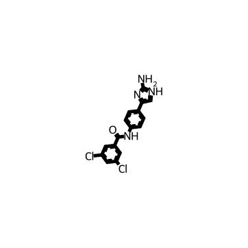 Nc1nc(-c2ccc(NC(=O)c3cc(Cl)cc(Cl)c3)cc2)c[nH]1